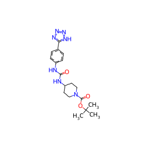 CC(C)(C)OC(=O)N1CCC(NC(=O)Nc2ccc(-c3nnn[nH]3)cc2)CC1